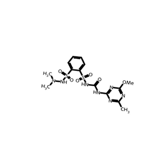 COc1nc(C)nc(NC(=O)NS(=O)(=O)c2ccccc2S(=O)(=O)NN(C)C)n1